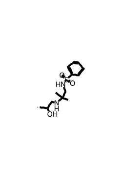 [CH2]C(O)CNC(C)(C)CNS(=O)(=O)c1ccccc1